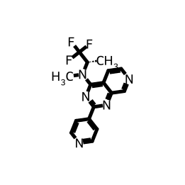 C[C@H](N(C)c1nc(-c2ccncc2)nc2cnccc12)C(F)(F)F